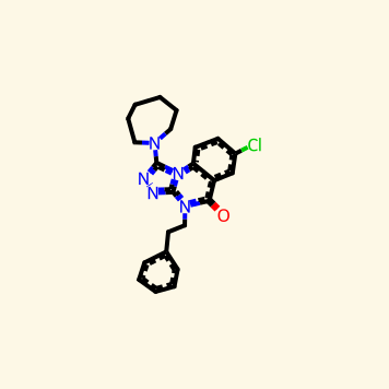 O=c1c2cc(Cl)ccc2n2c(N3CCCCCC3)nnc2n1CCc1ccccc1